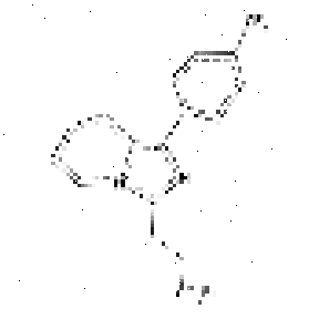 CCOC(=O)CCc1nc(-c2ccc(C(F)(F)F)cc2)c2ccccn12